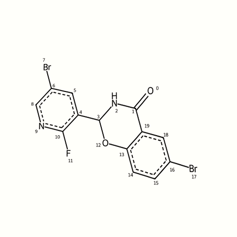 O=C1NC(c2cc(Br)cnc2F)Oc2ccc(Br)cc21